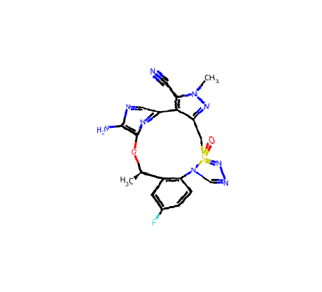 C[C@H]1Oc2nc(cnc2N)-c2c(nn(C)c2C#N)CS2(=O)=NN=CN2c2ccc(F)cc21